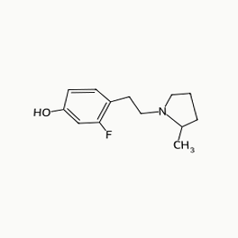 CC1CCCN1CCc1ccc(O)cc1F